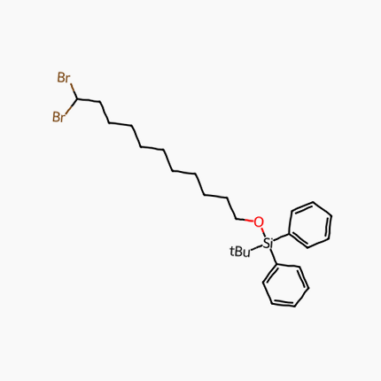 CC(C)(C)[Si](OCCCCCCCCCCC(Br)Br)(c1ccccc1)c1ccccc1